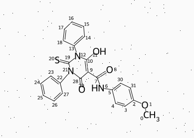 COc1ccc(NC(=O)c2c(O)n(-c3ccccc3)c(=S)n(-c3ccccc3)c2=O)cc1